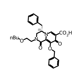 CCCCOCCN1C[C@H](Cc2ccccc2)n2cc(C(=O)O)c(=O)c(OCc3ccccc3)c2C1=O